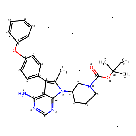 Cc1c(-c2ccc(Oc3ccccc3)cc2)c2c(N)ncnc2n1[C@@H]1CCCN(C(=O)OC(C)(C)C)C1